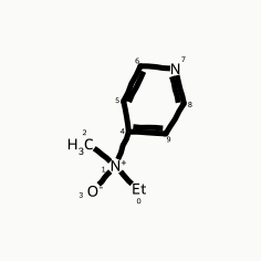 CC[N+](C)([O-])c1ccncc1